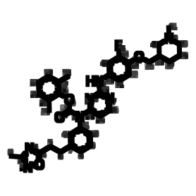 Cc1noc(CCc2cccc(N(C(=O)Oc3c(C)cccc3C)c3ccnc(Nc4ccc(OCC5CCCN(C)C5)c(F)c4)n3)c2)n1